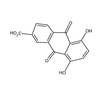 O=C(O)c1ccc2c(c1)C(=O)c1c(O)ccc(O)c1C2=O